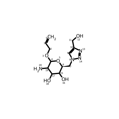 C=CCOC1O[C@@H](Cn2cc(CO)nn2)C(O)C(O)C1N